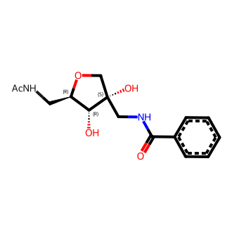 CC(=O)NC[C@H]1OC[C@@](O)(CNC(=O)c2ccccc2)[C@@H]1O